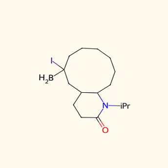 BC1(I)CCCCCCC2C(CCC(=O)N2C(C)C)C1